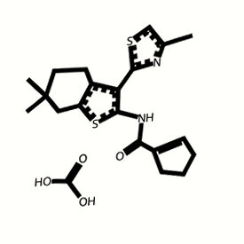 Cc1csc(-c2c(NC(=O)C3=CCCC3)sc3c2CCC(C)(C)C3)n1.O=C(O)O